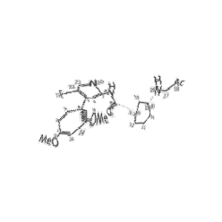 COc1ccc(-c2cc(NC(=O)[C@H]3CCC[C@@H](NCC(C)=O)C3)ncc2F)c(OC)c1